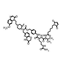 COc1ccc2ncc(=O)n(CCN3CC[C@@H](N(Cc4ccc5c(n4)NC(=O)CO5)C(=O)OCc4ccc(NC(=O)[C@H](CCCNC(N)=O)NC(=O)[C@@H](NC(=O)CCCCCN5C(=O)C=CC5=O)C(C)C)cc4)[C@H](F)C3)c2c1